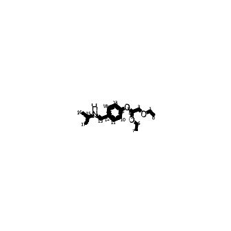 CCOCC(OCC)Oc1ccc(CNC(C)C)cc1